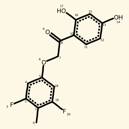 Cc1c(F)cc(OCC(=O)c2ccc(O)cc2O)cc1F